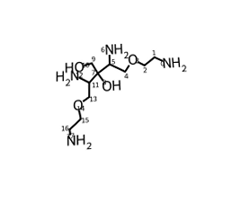 NCCOCC(N)C(O)(CO)C(N)COCCN